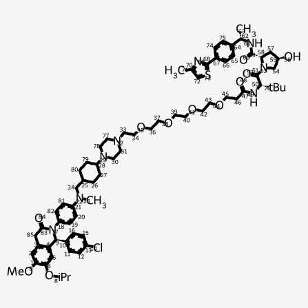 COc1cc2c(cc1OC(C)C)[C@H](c1ccc(Cl)cc1)N(c1ccc(N(C)CC3CCC(N4CCN(CCOCCOCCOCCOCCC(=O)N[C@H](C(=O)N5C[C@H](O)C[C@H]5C(=O)N[C@@H](C)c5ccc(-c6nc(C)cs6)cc5)C(C)(C)C)CC4)CC3)cc1)C(=O)C2